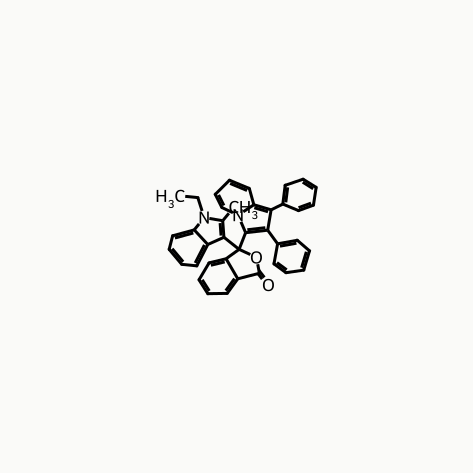 CCn1c(C)c(C2(c3c(-c4ccccc4)c(-c4ccccc4)c4ccccn34)OC(=O)c3ccccc32)c2ccccc21